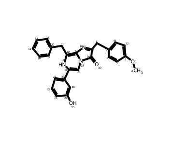 COc1ccc(Cc2nc3c(Cc4ccccc4)[nH]c(-c4cccc(O)c4)cn-3c2=O)cc1